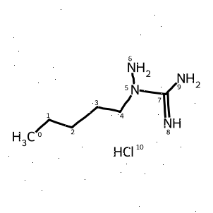 CCCCCN(N)C(=N)N.Cl